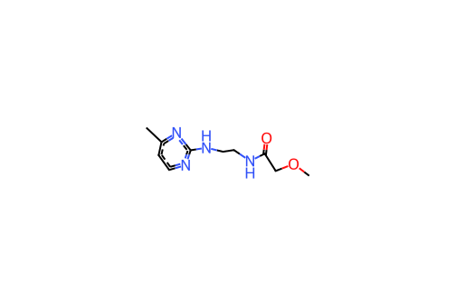 COCC(=O)NCCNc1nccc(C)n1